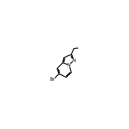 CCc1cc2cc(Br)ccn2n1